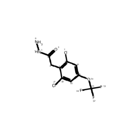 NNC(=O)Cc1c(Cl)cc(OC(F)(F)F)cc1Cl